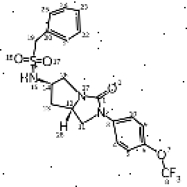 O=C1N(c2ccc(OC(F)(F)F)cc2)C[C@@H]2C[C@@H](NS(=O)(=O)Cc3ccccc3)CN12